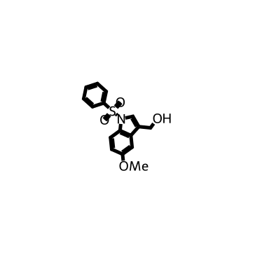 COc1ccc2c(c1)c(CO)cn2S(=O)(=O)c1ccccc1